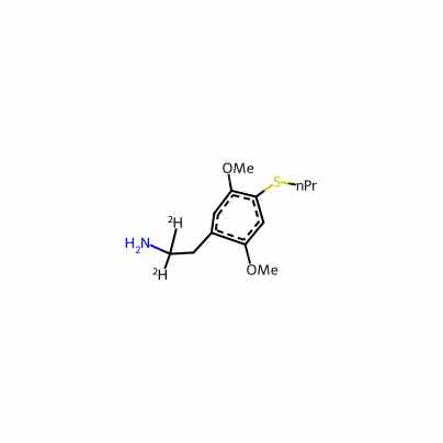 [2H]C([2H])(N)Cc1cc(OC)c(SCCC)cc1OC